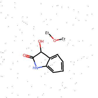 CCOCC.O=C1Nc2ccccc2C1O